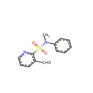 CN(c1ccccc1)S(=O)(=O)c1ncccc1C=O